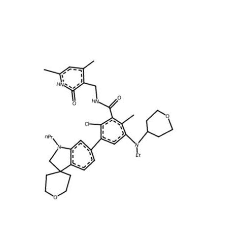 CCCN1CC2(CCOCC2)c2ccc(-c3cc(N(CC)C4CCOCC4)c(C)c(C(=O)NCc4c(C)cc(C)[nH]c4=O)c3Cl)cc21